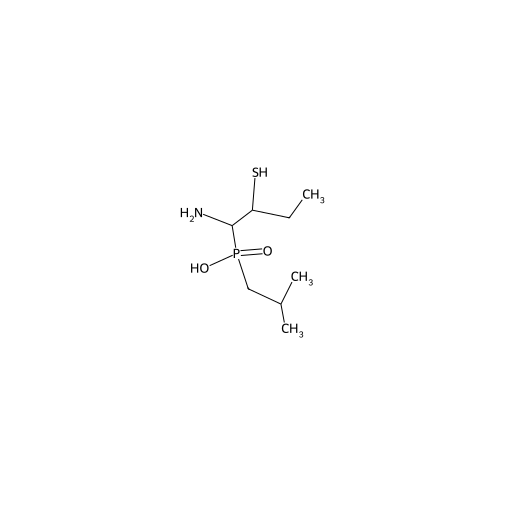 CCC(S)C(N)P(=O)(O)CC(C)C